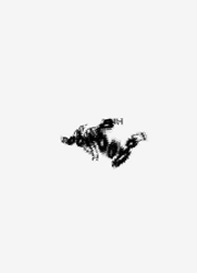 CN1CCN(c2ccc(S(=O)(=O)NC(=O)c3ccc(N4CCN(CC5=C(c6ccc(Cl)cc6)CC(C)(C)CC5)CC4)cc3Oc3ccc4[nH]ccc4c3)cc2[N+](=O)[O-])CC1